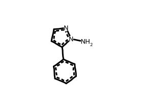 Nn1nccc1-c1ccccc1